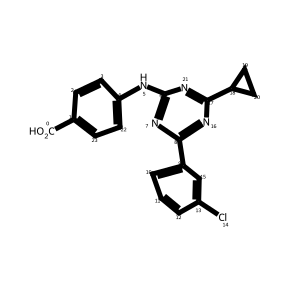 O=C(O)c1ccc(Nc2nc(-c3cccc(Cl)c3)nc(C3CC3)n2)cc1